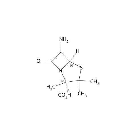 CC1(C)S[C@@H]2C(N)C(=O)N2[C@@]1(C)C(=O)O